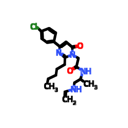 C=CNCC(C)NC(=O)Cn1c(CCCCC)nc(-c2ccc(Cl)cc2)cc1=O